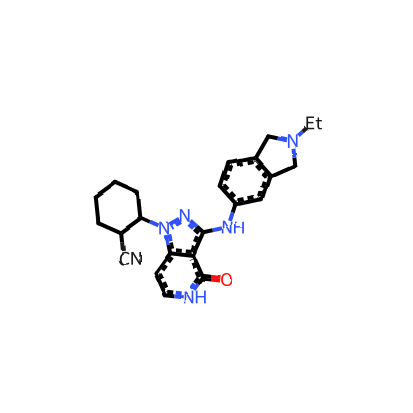 CCN1Cc2ccc(Nc3nn(C4CCCCC4C#N)c4cc[nH]c(=O)c34)cc2C1